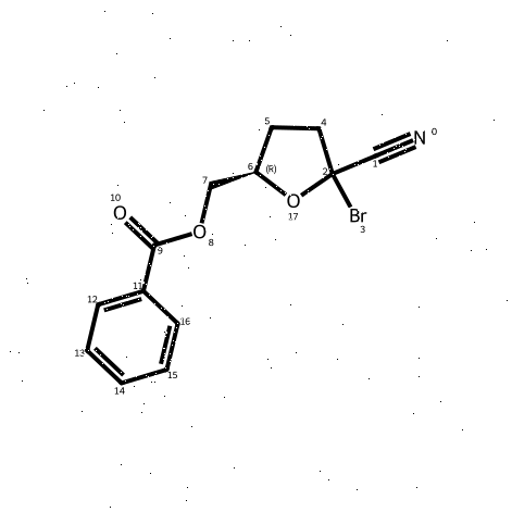 N#CC1(Br)CC[C@H](COC(=O)c2ccccc2)O1